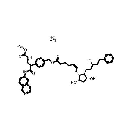 CC(C)(C)OC(=O)NCC(C(=O)Nc1ccc2cnccc2c1)c1ccc(COC(=O)CCC/C=C\C[C@@H]2[C@@H](CC[C@@H](O)CCc3ccccc3)[C@H](O)C[C@@H]2O)cc1.Cl.Cl